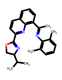 CC(=Nc1c(C)cccc1C)c1cccc2ccc(C3=NC(C(C)C)CO3)nc12